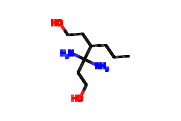 CCCC(CCO)C(N)(N)CCO